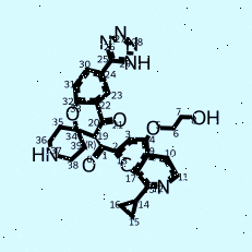 O=C(c1cc(OCCO)c2ccnc(C3CC3)c2c1)[C@@H]1C(=O)c2cc(-c3nnn[nH]3)ccc2OC12CCNCC2